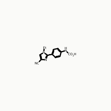 CCn1cc(C#N)nc1-c1ccc(NC(=O)O)cc1